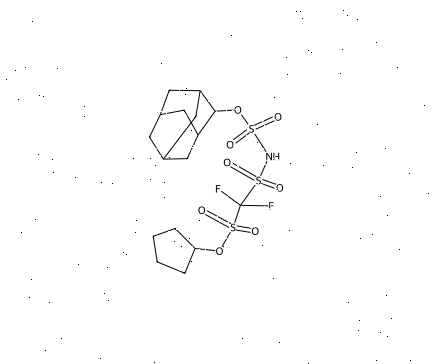 O=S(=O)(NS(=O)(=O)C(F)(F)S(=O)(=O)OC1CCCC1)OC1C2CC3CC(C2)CC1C3